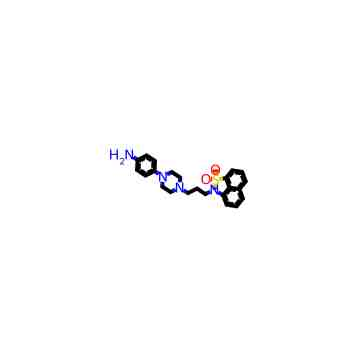 Nc1ccc(N2CCN(CCCN3c4cccc5cccc(c45)S3(=O)=O)CC2)cc1